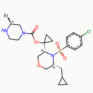 CC[C@H]1CN(C(=O)OC2([C@H]3COC[C@@H](CC4CC4)N3S(=O)(=O)c3ccc(Cl)cc3)CC2)CCN1